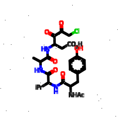 CC(=O)NC(Cc1ccc(O)cc1)C(=O)NC(C(=O)NC(C)C(=O)NC(CC(=O)O)C(=O)C(=O)CCl)C(C)C